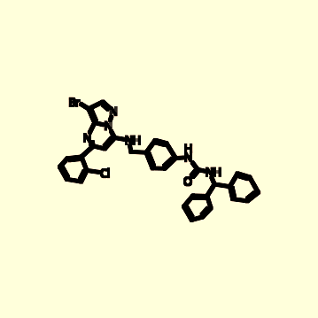 O=C(Nc1ccc(CNc2cc(-c3ccccc3Cl)nc3c(Br)cnn23)cc1)NC(c1ccccc1)c1ccccc1